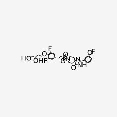 O=C1NC(c2cccc(OF)c2)=NC12CCN(S(=O)(=O)CCc1cc(F)c(OCCC(O)CO)c(F)c1)CC2